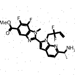 C=CC(F)(F)Cn1c(-c2nc3cc(C(=O)OC)c(F)c(F)c3n2C)cc2ccc([C@@H](C)N)nc21